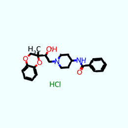 CC1(C(O)CN2CCC(NC(=O)c3ccccc3)CC2)COc2ccccc2O1.Cl